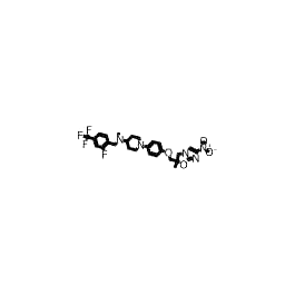 CN(Cc1ccc(C(F)(F)F)cc1F)C1CCN(c2ccc(OCC3(C)Cn4cc([N+](=O)[O-])nc4O3)cc2)CC1